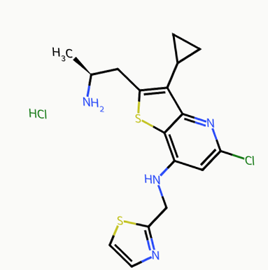 C[C@H](N)Cc1sc2c(NCc3nccs3)cc(Cl)nc2c1C1CC1.Cl